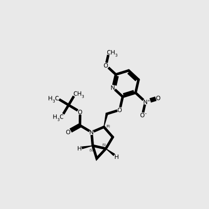 COc1ccc([N+](=O)[O-])c(OC[C@H]2C[C@@H]3C[C@@H]3N2C(=O)OC(C)(C)C)n1